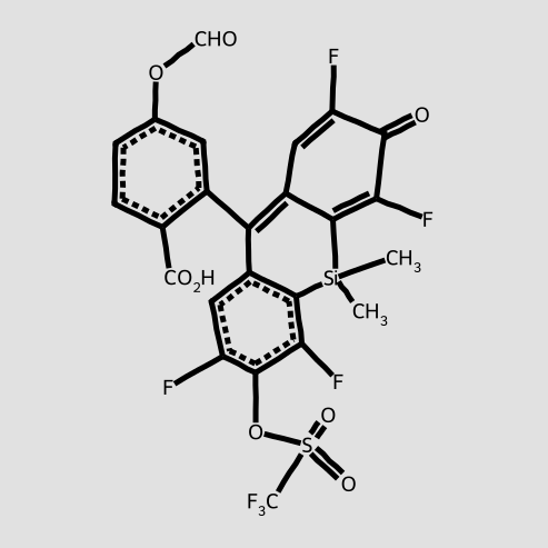 C[Si]1(C)C2=C(F)C(=O)C(F)=CC2=C(c2cc(OC=O)ccc2C(=O)O)c2cc(F)c(OS(=O)(=O)C(F)(F)F)c(F)c21